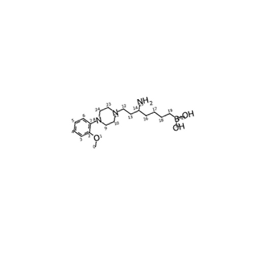 COc1ccccc1N1CCN(CCC(N)CCCCB(O)O)CC1